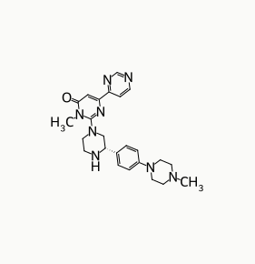 CN1CCN(c2ccc([C@H]3CN(c4nc(-c5ccncn5)cc(=O)n4C)CCN3)cc2)CC1